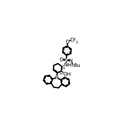 CCCCN=S(=O)(N[C@H]1CCC=C(N2c3ccccc3CCc3ccccc32)[C@@H]1O)c1ccc(OC(F)(F)F)cc1